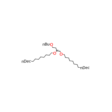 CCCCCCCCCCCCCCCCCCOC[C@H](CCOCCCC)OCCCCCCCCCCCCCCCCCC